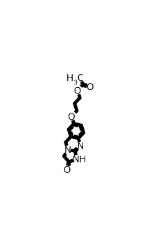 CC(=O)OCCCOc1ccc2c(c1)CN1CC(=O)NC1=N2